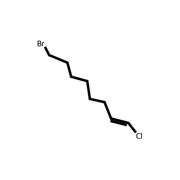 ClC=CCCCCCCBr